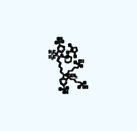 CC1(C)/C(=C/C=C/C=C/C2=[N+](CCCCS(=O)(=O)O)C(C)(CCCCS(=O)(=O)O)c3cc(S(=O)(=O)O)ccc32)N(CCCCCC(=O)ON2C(=O)CCC2=O)c2ccc(S(=O)(=O)O)cc21